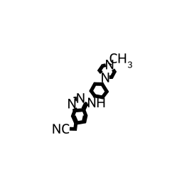 CN1CCN([C@H]2CC[C@H](Nc3ncnc4cc(CC#N)ccc34)CC2)CC1